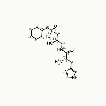 N[C@@H](Cc1c[nH]cn1)C(=O)NC[C@@H](O)CP(=O)(O)CC1CCCCC1